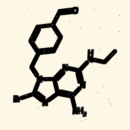 CCNc1nc(N)c2nc(Br)n(CC3=CCC(C=O)C=C3)c2n1